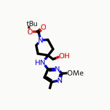 COc1nc(C)cc(NC2(CO)CCN(C(=O)OC(C)(C)C)CC2)n1